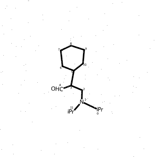 CC(C)N(CC(C=O)C1C[CH]CCC1)C(C)C